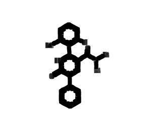 CCN(CC)C(=O)c1cc(-c2ccccc2)c(=O)[nH]c1-c1c(Cl)cccc1C#N